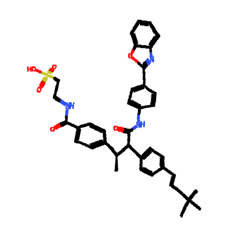 C[C@@H](c1ccc(C(=O)NCCS(=O)(=O)O)cc1)C(C(=O)Nc1ccc(-c2nc3ccccc3o2)cc1)c1ccc(/C=C/C(C)(C)C)cc1